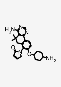 CC1(C)Cc2c(ccc(OC3CCC(N)CC3)c2N2CC=CC2=O)-c2ncnc(N)c21